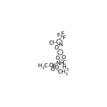 CCOP(=O)(CNC(=O)C(C)Oc1ccc(Oc2ncc(C(F)(F)F)cc2Cl)cc1)OCC